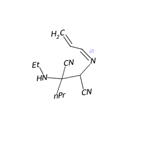 C=C/C=N\C(C#N)C(C#N)(CCC)NCC